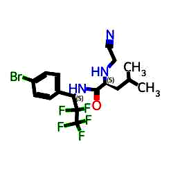 CC(C)C[C@H](NCC#N)C(=O)N[C@@H](c1ccc(Br)cc1)C(F)(F)C(F)(F)F